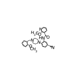 COc1ccccc1CN1CCN(c2ccc(C#N)cc2NC(=O)c2cccnc2OC)CC1